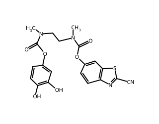 CN(CCN(C)C(=O)Oc1ccc2nc(C#N)sc2c1)C(=O)Oc1ccc(O)c(O)c1